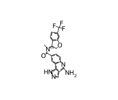 CN(C(=O)c1ccc2nc(N)c3cn[nH]c3c2c1)[C@@H]1COc2cc(C(F)(F)F)ccc21